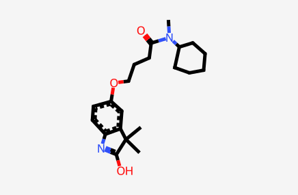 CN(C(=O)CCCOc1ccc2c(c1)C(C)(C)C(O)=N2)C1CCCCC1